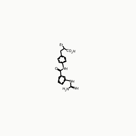 CCC(Cc1ccc(NC(=O)c2cccc(NC(=N)N)c2)cc1)C(=O)O